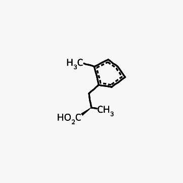 Cc1ccccc1C[C@@H](C)C(=O)O